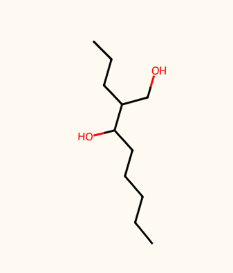 CCCCCC(O)C(CO)CCC